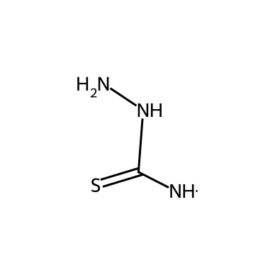 [NH]C(=S)NN